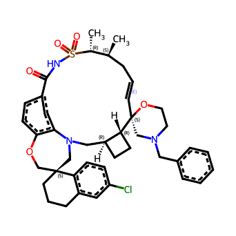 C[C@@H]1[C@@H](C)C/C=C/[C@]2(CN(Cc3ccccc3)CCO2)[C@@H]2CC[C@H]2CN2C[C@@]3(CCCc4cc(Cl)ccc43)COc3ccc(cc32)C(=O)NS1(=O)=O